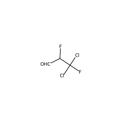 O=CC(F)C(F)(Cl)Cl